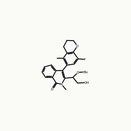 Cc1c(-c2c(C(CO)OC(C)(C)C)n(C)c(=O)c3ccccc23)cc(F)c2c1CCCO2